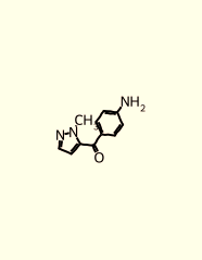 Cn1nccc1C(=O)c1ccc(N)cc1